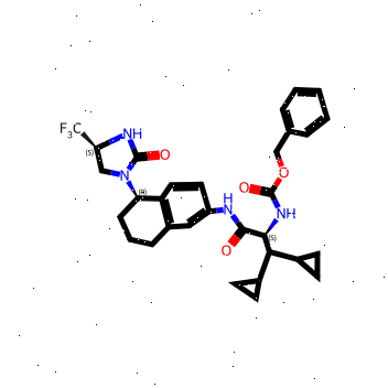 O=C(N[C@H](C(=O)Nc1ccc2c(c1)CCC[C@H]2N1C[C@@H](C(F)(F)F)NC1=O)C(C1CC1)C1CC1)OCc1ccccc1